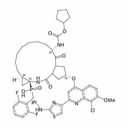 COc1ccc2c(O[C@@H]3CC4C(=O)N[C@]5(P(=O)(O)Cc6c(F)cccc6F)C[C@H]5CCCCCCC[C@H](NC(=O)OC5CCCC5)C(=O)C4C3)cc(-c3csc(NC(C)C)n3)nc2c1Cl